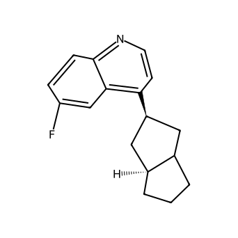 Fc1ccc2nccc([C@H]3CC4CCC[C@H]4C3)c2c1